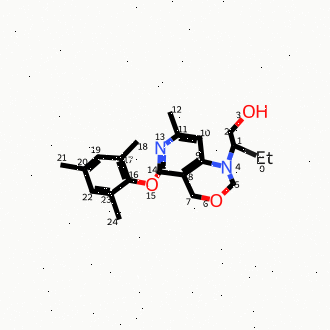 CCC(CO)N1COCc2c1cc(C)nc2Oc1c(C)cc(C)cc1C